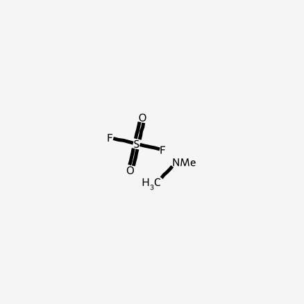 CNC.O=S(=O)(F)F